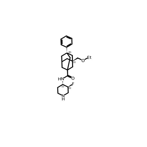 CCOC[C@]12CC3CC(C(=O)N[C@H]4CCNC[C@@H]4F)(C1)C[C@@](c1ccccc1)(C3)C2